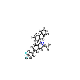 Cc1cc2c(c(-c3nc(C4CC4)cc4cc(C5CCC(F)(F)C5)ccc34)c1)Cc1ccccc1-2